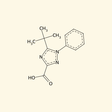 CC(C)(C)c1nc(C(=O)O)nn1-c1ccccc1